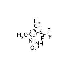 Cc1cc(C)c(SC(F)C(F)F)cc1N=C1NCCO1